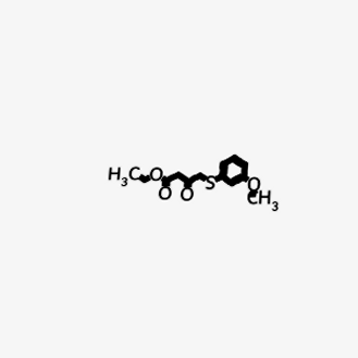 CCOC(=O)CC(=O)CSc1cccc(OC)c1